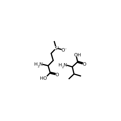 CC(C)C(N)C(=O)O.C[S+]([O-])CCC(N)C(=O)O